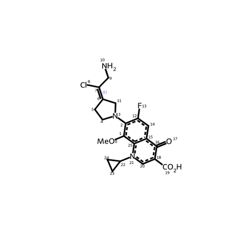 COc1c(N2CC/C(=C(\Cl)CN)C2)c(F)cc2c(=O)c(C(=O)O)cn(C3CC3)c12